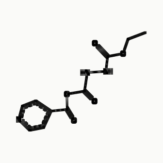 CCOC(=O)NNC(=O)OC(=O)c1ccncc1